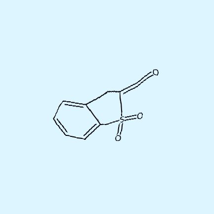 O=C=C1Cc2ccccc2S1(=O)=O